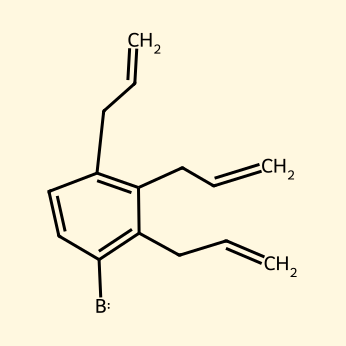 [B]c1ccc(CC=C)c(CC=C)c1CC=C